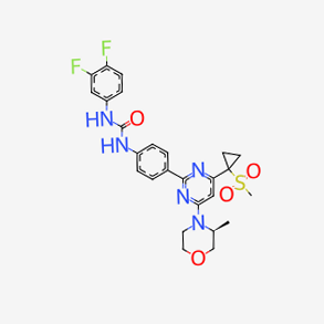 C[C@H]1COCCN1c1cc(C2(S(C)(=O)=O)CC2)nc(-c2ccc(NC(=O)Nc3ccc(F)c(F)c3)cc2)n1